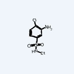 CCNS(=O)(=O)c1ccc(Cl)c(N)c1